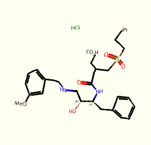 COc1cccc(CNC[C@@H](O)[C@H](Cc2ccccc2)NC(=O)C(CC(=O)O)CS(=O)(=O)CCC(C)C)c1.Cl